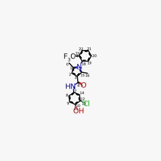 Cc1cc(C(=O)Nc2ccc(O)c(Cl)c2)c(C)n1-c1ccccc1C(F)(F)F